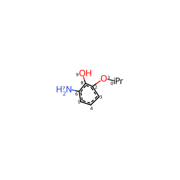 CC(C)Oc1cccc(N)c1O